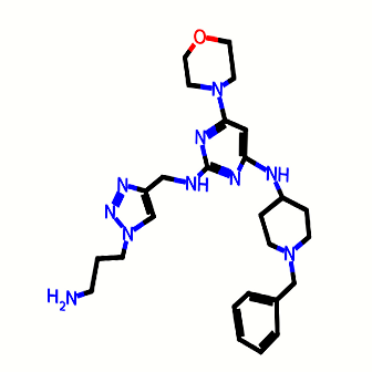 NCCCn1cc(CNc2nc(NC3CCN(Cc4ccccc4)CC3)cc(N3CCOCC3)n2)nn1